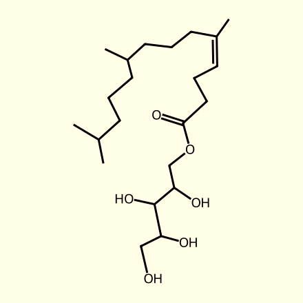 CC(=CCCC(=O)OCC(O)C(O)C(O)CO)CCCC(C)CCCC(C)C